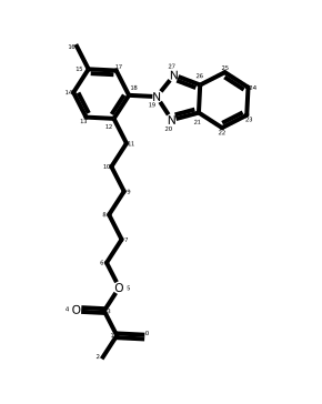 C=C(C)C(=O)OCCCCCCc1ccc(C)cc1-n1nc2ccccc2n1